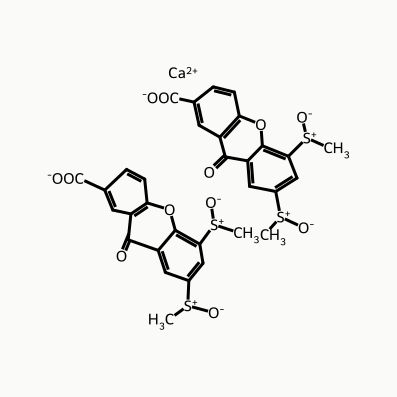 C[S+]([O-])c1cc([S+](C)[O-])c2oc3ccc(C(=O)[O-])cc3c(=O)c2c1.C[S+]([O-])c1cc([S+](C)[O-])c2oc3ccc(C(=O)[O-])cc3c(=O)c2c1.[Ca+2]